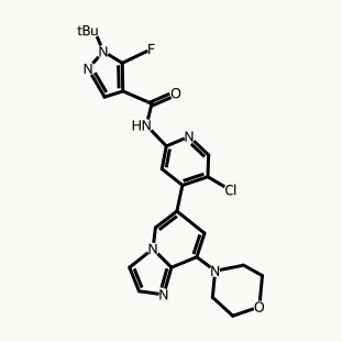 CC(C)(C)n1ncc(C(=O)Nc2cc(-c3cc(N4CCOCC4)c4nccn4c3)c(Cl)cn2)c1F